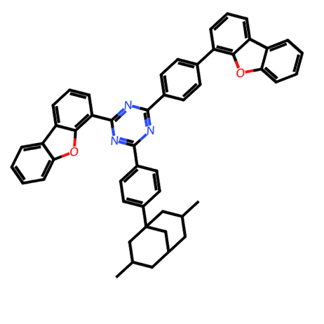 CC1CC2CC(C)CC(c3ccc(-c4nc(-c5ccc(-c6cccc7c6oc6ccccc67)cc5)nc(-c5cccc6c5oc5ccccc56)n4)cc3)(C1)C2